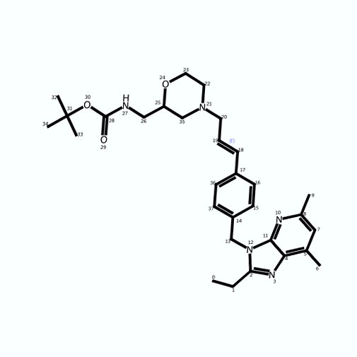 CCc1nc2c(C)cc(C)nc2n1Cc1ccc(/C=C/CN2CCOC(CNC(=O)OC(C)(C)C)C2)cc1